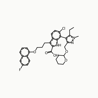 CCc1c(-c2c(Cl)ccc3c(CCCOc4cccc5cc(F)ccc45)c(C(=O)O)[nH]c23)c(COC2CCCCO2)nn1C